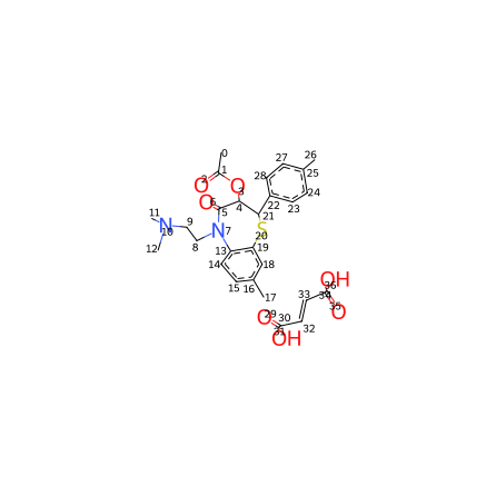 CC(=O)OC1C(=O)N(CCN(C)C)c2ccc(C)cc2SC1c1ccc(C)cc1.O=C(O)C=CC(=O)O